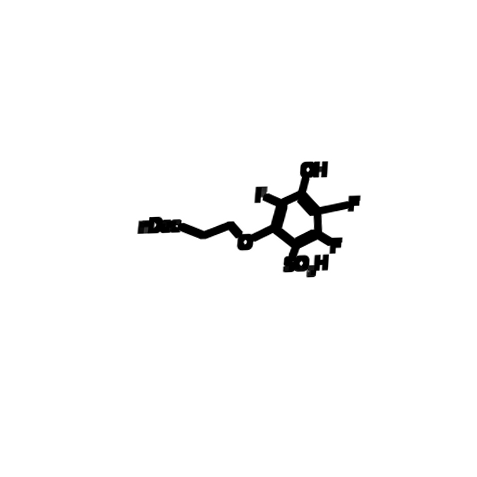 CCCCCCCCCCCCOc1c(F)c(O)c(F)c(F)c1S(=O)(=O)O